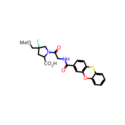 COC[C@@]1(F)CC(C(=O)O)N(C(=O)CNC(=O)c2ccc3c(c2)Oc2ccccc2S3)C1